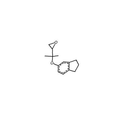 CC(C)(Oc1ccc2c(c1)CCC2)C1CO1